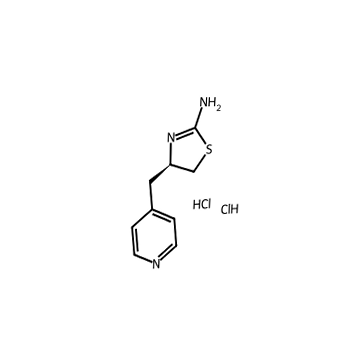 Cl.Cl.NC1=N[C@H](Cc2ccncc2)CS1